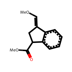 CO/C=C1\CC(C(=O)OC)c2ccccc21